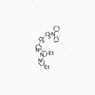 CCc1ccnc(-c2cc(CC)cc(-c3cc(-c4ccc(-c5ccc(N(c6ccccc6)c6ccccc6)s5)s4)ccn3)n2)c1